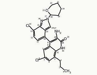 CCCc1cc(Cl)cc2c(-c3ccc(Cl)c4nn(C5CCCCO5)cc34)c(N)c(=O)[nH]c12